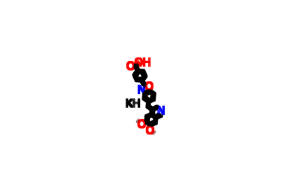 COc1cc2cncc(Cc3ccc4oc(-c5ccc(C(=O)O)cc5)nc4c3)c2cc1OC.[KH]